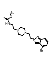 CC(C)(C)OC(=O)NCCN1CCN(CCn2cc3c(Br)cccc3n2)CC1